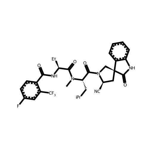 CC[C@H](NC(=O)c1ccc(F)cc1C(F)(F)F)C(=O)N(C)[C@@H](CC(C)C)C(=O)N1C[C@]2(C[C@H]1C#N)C(=O)Nc1ccccc12